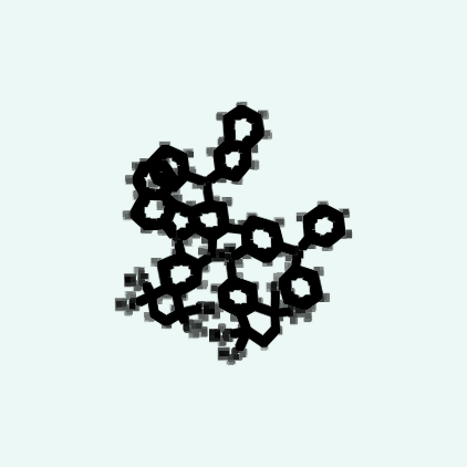 CC1(C)CCC(C)(C)c2cc(Nc3cc(N(c4ccccc4)c4ccccc4)ccc3-c3cc(N(c4ccccc4)c4ccc5ccccc5c4)c4c5c6ccccc6ccc5n5c4c3Bc3cc4c(cc3-5)C(C)(C)CCC4(C)C)ccc21